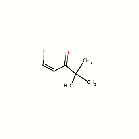 CC(C)(C)C(=O)/C=C\F